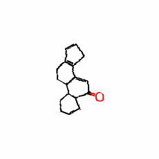 O=C1C=C2C3=C(CCC3)CCC2C2CCCCC12